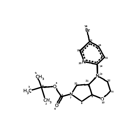 CC(C)(C)OC(=O)N1CC2OCCN(c3ccc(Br)cn3)C2C1